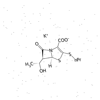 CCCSC1=C(C(=O)[O-])N2C(=O)[C@H]([C@@H](C)O)[C@@H]2S1.[K+]